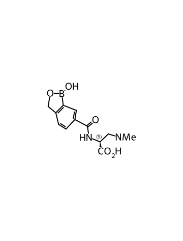 CNC[C@H](NC(=O)c1ccc2c(c1)B(O)OC2)C(=O)O